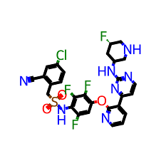 N#Cc1cc(Cl)ccc1CS(=O)(=O)Nc1c(F)cc(Oc2ncccc2-c2ccnc(NC3CNC[C@@H](F)C3)n2)c(F)c1F